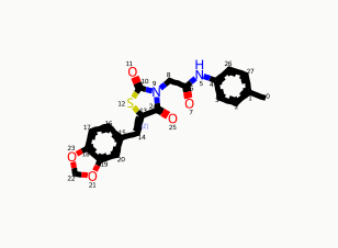 Cc1ccc(NC(=O)CN2C(=O)S/C(=C\c3ccc4c(c3)OCO4)C2=O)cc1